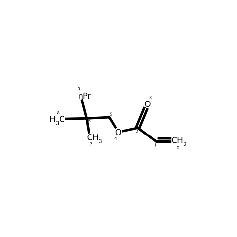 C=CC(=O)OCC(C)(C)CCC